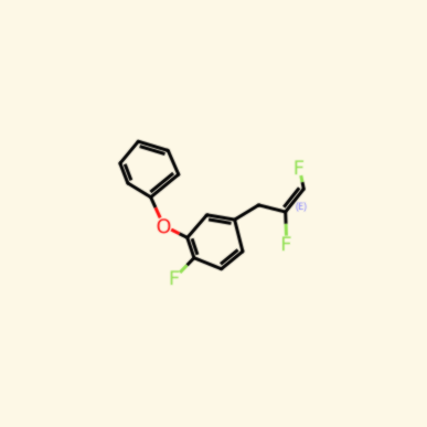 F/C=C(/F)Cc1ccc(F)c(Oc2ccccc2)c1